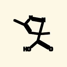 CC1=CC(C)(C(=O)O)N=N1